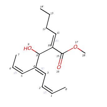 C\C=C/C=C(\C=C/C)C(O)/C(=C\CCC)C(=O)OC